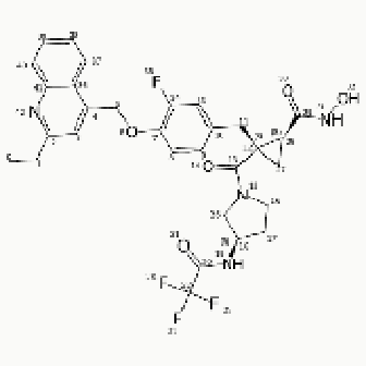 CCc1cc(COc2ccc(C[C@]3(C(=O)N4CC[C@@H](NC(=O)C(F)(F)F)C4)C[C@@H]3C(=O)NO)cc2F)c2ccccc2n1